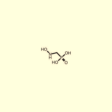 O=P(O)(O)CNO